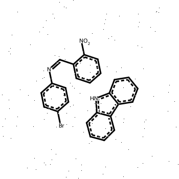 O=[N+]([O-])c1ccccc1/C=N\c1ccc(Br)cc1.c1ccc2c(c1)[nH]c1ccccc12